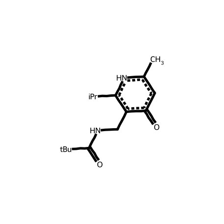 Cc1cc(=O)c(CNC(=O)C(C)(C)C)c(C(C)C)[nH]1